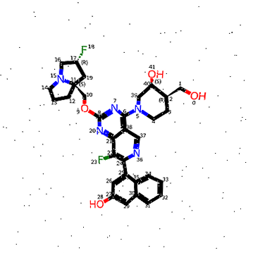 OC[C@H]1CCN(c2nc(OC[C@@]34CCCN3C[C@H](F)C4)nc3c(F)c(-c4cc(O)cc5ccccc45)ncc23)C[C@H]1O